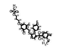 COc1cc(C(C)(C)c2cnc(SCc3c(F)cc(OCCCOS(C)(=O)=O)cc3Cl)n2-c2ccc(F)cc2)ccc1F